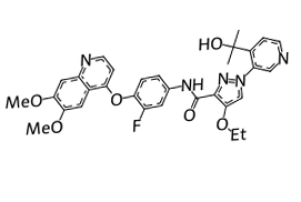 CCOc1cn(-c2cnccc2C(C)(C)O)nc1C(=O)Nc1ccc(Oc2ccnc3cc(OC)c(OC)cc23)c(F)c1